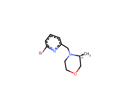 C[C@H]1COCCN1Cc1cccc(Br)n1